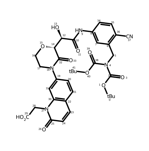 CC(C)(C)OC(=O)N(Cc1cc(NC(=O)[C@H](O)[C@H]2OCCN(c3ccc4ccc(=O)n(CC(=O)O)c4c3)C2=O)ccc1C#N)C(=O)OC(C)(C)C